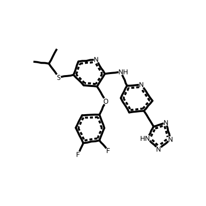 CC(C)Sc1cnc(Nc2ccc(-c3nnn[nH]3)cn2)c(Oc2ccc(F)c(F)c2)c1